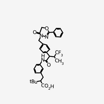 CC(C(C(=O)Nc1cccc(CC(C(=O)O)C(C)(C)C)c1)c1ccc(CN2N=C(c3ccccc3)OCC2=O)cc1)C(F)(F)F